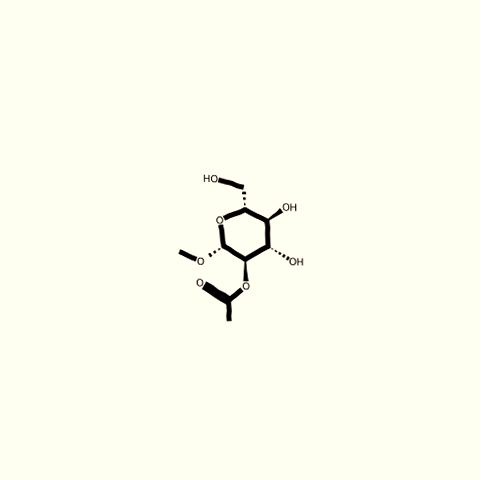 CO[C@@H]1O[C@H](CO)[C@@H](O)[C@H](O)[C@H]1OC(C)=O